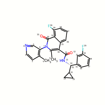 Cc1ccncc1-n1c(C)c(C(=O)N[C@H](c2cccc(F)c2)C2CC2)c2cccc(F)c2c1=O